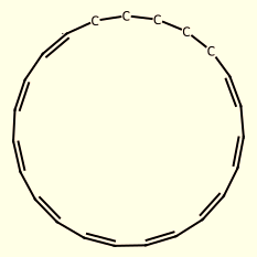 [C]1=C/C=C\C=C/C=C\C=C/C=C\C=C/C=C\C=C/CCCCC\1